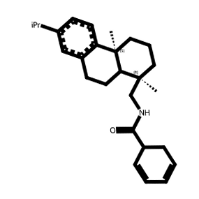 CC(C)c1ccc2c(c1)CCC1[C@](C)(CNC(=O)C3C=CC=CC3)CCC[C@]21C